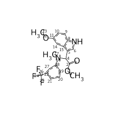 COC(=O)C(c1c[nH]c2ccc(OC)cc12)N(C)c1cccc(C(F)(F)F)c1